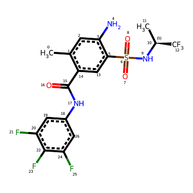 Cc1cc(N)c(S(=O)(=O)N[C@@H](C)C(F)(F)F)cc1C(=O)Nc1cc(F)c(F)c(F)c1